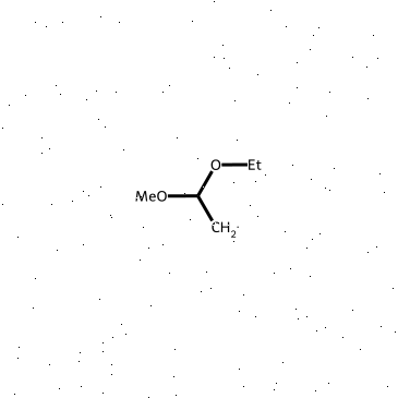 [CH2]C(OC)OCC